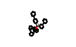 c1ccc(-c2ccc(N(c3cccc(-c4ccccc4)c3)c3ccc4c(c3)-c3c5cccc3-c3cccc-4c3-c3ccccc3-5)cc2)cc1